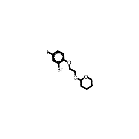 Brc1cc(I)ccc1OCCOC1CCCCO1